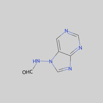 O=CNn1cnc2ncncc21